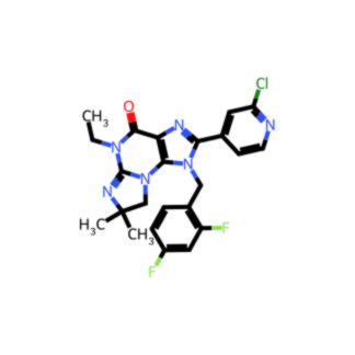 CCN1C(=O)c2nc(-c3ccnc(Cl)c3)n(Cc3ccc(F)cc3F)c2N2CC(C)(C)N=C12